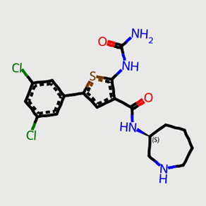 NC(=O)Nc1sc(-c2cc(Cl)cc(Cl)c2)cc1C(=O)N[C@H]1CCCCNC1